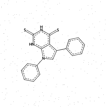 S=c1[nH]c(=S)c2c(-c3ccccc3)cn(-c3ccccc3)c2[nH]1